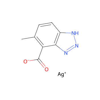 Cc1ccc2[nH]nnc2c1C(=O)[O-].[Ag+]